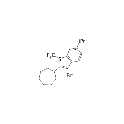 CC(C)c1ccc2cc(C3CCCCCC3)[s+](C(F)(F)F)c2c1.[Br-]